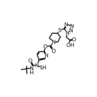 CC(C)(C)NC(=O)N(S)c1ccc(OC(=O)N2CCC(Sc3nnnn3CC(=O)O)CC2)nc1